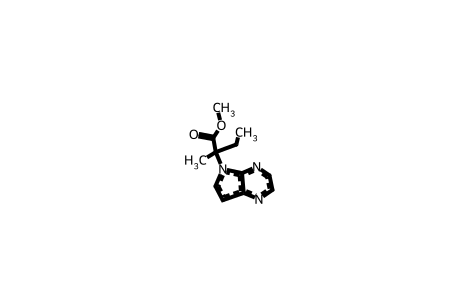 CCC(C)(C(=O)OC)n1ccc2nccnc21